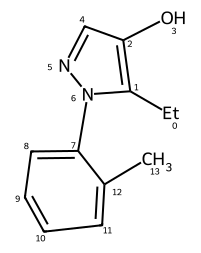 CCc1c(O)cnn1-c1ccccc1C